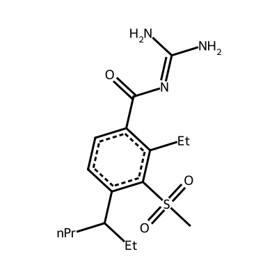 CCCC(CC)c1ccc(C(=O)N=C(N)N)c(CC)c1S(C)(=O)=O